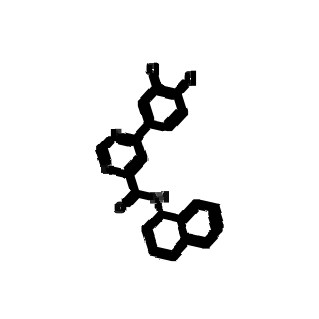 O=C(N[C@H]1CCCc2ccccc21)c1cc(-c2ccc(Cl)c(Cl)c2)ncn1